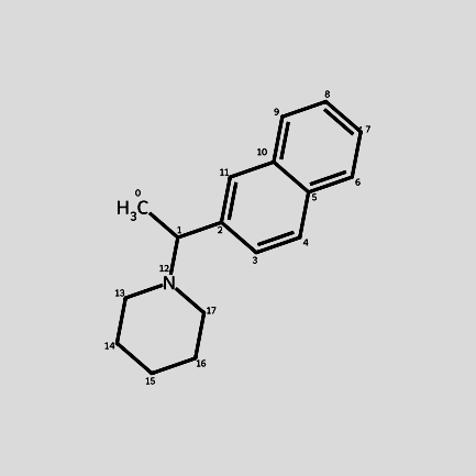 CC(c1ccc2c[c]ccc2c1)N1CCCCC1